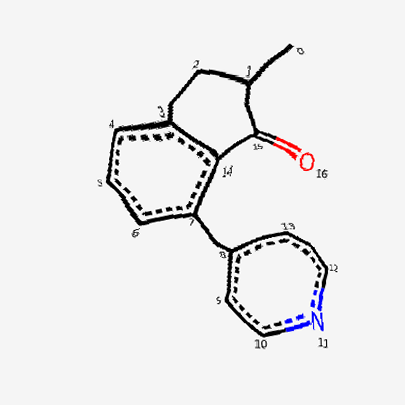 CC1Cc2cccc(-c3ccncc3)c2C1=O